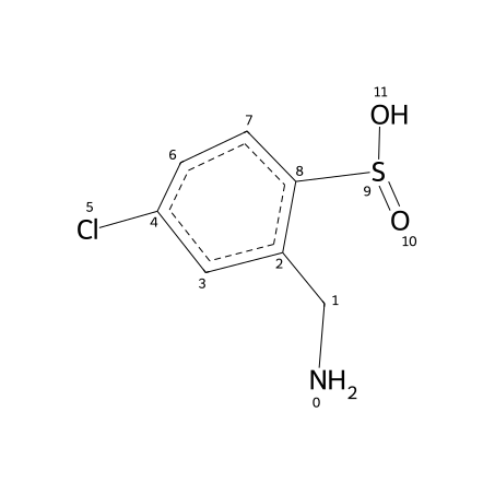 NCc1cc(Cl)ccc1S(=O)O